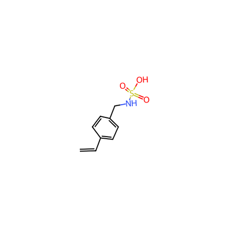 C=Cc1ccc(CNS(=O)(=O)O)cc1